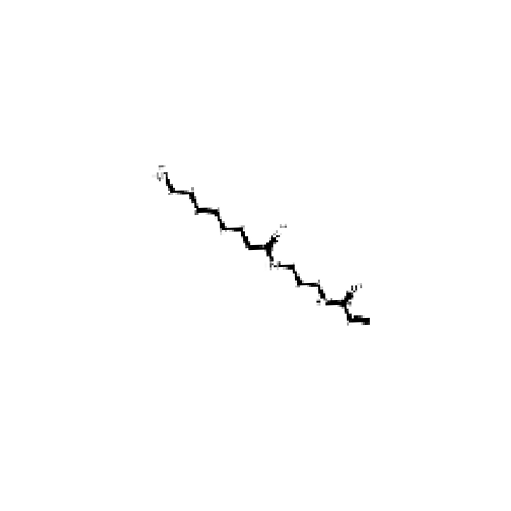 C=CC(=O)NCCCNC(=O)CCCCCCCN